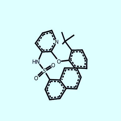 CC(C)(C)c1ccccc1Oc1ncccc1NS(=O)(=O)c1cccc2ccccc12